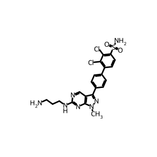 Cn1nc(-c2ccc(-c3ccc(S(N)(=O)=O)c(Cl)c3Cl)cc2)c2cnc(NCCCN)nc21